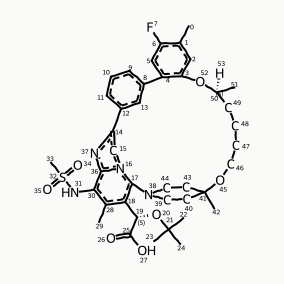 Cc1cc2c(cc1F)-c1cccc(c1)-c1cn3c(c([C@H](OC(C)(C)C)C(=O)O)c(C)c(NS(C)(=O)=O)c3n1)N1CCC(C)(CC1)OCCCC[C@H](C)O2